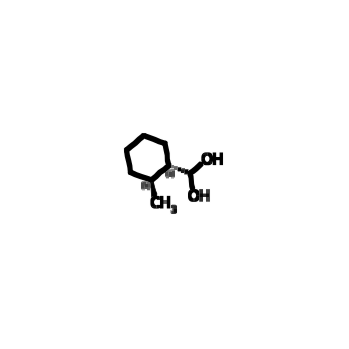 C[C@H]1CCCC[C@@H]1C(O)O